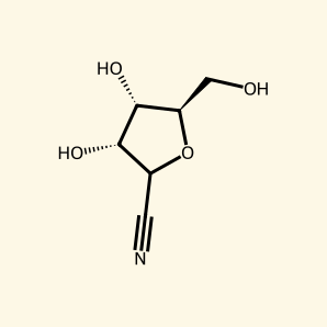 N#CC1O[C@H](CO)[C@@H](O)[C@H]1O